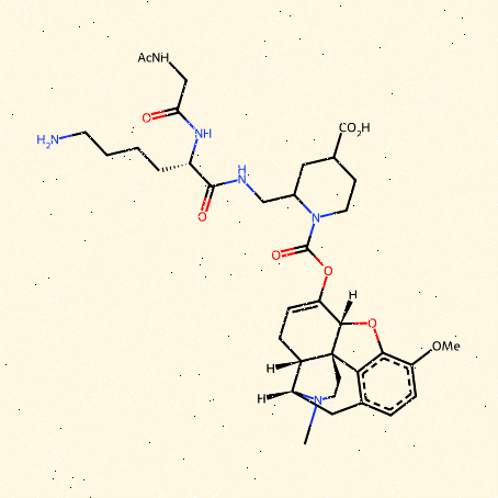 COc1ccc2c3c1O[C@H]1C(OC(=O)N4CCC(C(=O)O)CC4CNC(=O)[C@H](CCCCN)NC(=O)CNC(C)=O)=CC[C@H]4[C@@H](C2)N(C)CC[C@]314